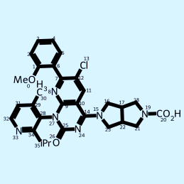 COc1ccccc1-c1nc2c(cc1Cl)c(N1CC3CN(C(=O)O)CC3C1)nc(=O)n2-c1c(C)ccnc1C(C)C